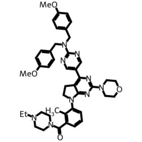 CCN1CCN(C(=O)c2cccc(N3CCc4c(-c5cnc(N(Cc6ccc(OC)cc6)Cc6ccc(OC)cc6)nc5)nc(N5CCOCC5)nc43)c2C)CC1